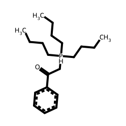 CCCC[PH](CCCC)(CCCC)CC(=O)c1ccccc1